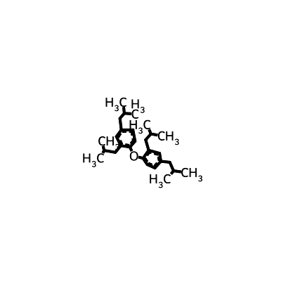 CC(C)Cc1ccc(Oc2ccc(CC(C)C)cc2CC(C)C)c(CC(C)C)c1